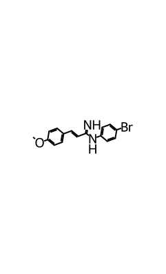 COc1ccc(/C=C/C(=N)Nc2ccc(Br)cc2)cc1